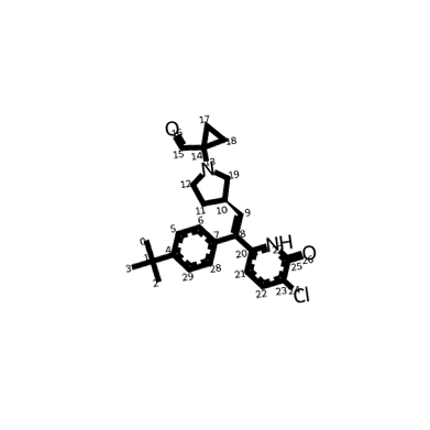 CC(C)(C)c1ccc(/C(=C\[C@H]2CCN(C3(C=O)CC3)C2)c2ccc(Cl)c(=O)[nH]2)cc1